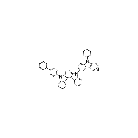 c1ccc(-c2ccc(-n3c4ccccc4c4c5c6ccccc6n(-c6ccc7c(c6)c6cnccc6n7-c6ccccc6)c5ccc43)cc2)cc1